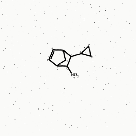 O=[N+]([O-])C1C2C=CC(C2)C1C1CC1